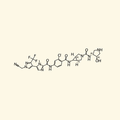 Cn1c(-c2cn(CC#N)nc2C(F)(F)F)cnc1C(=O)Nc1ccc(C(=O)NC2[C@H]3CN(C(=O)N[C@@H]4CNC[C@H]4O)C[C@@H]23)c(Cl)c1